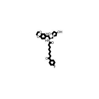 O=C(CCCCCCC(=O)c1ccc(F)cc1)N[C@H](CN1CC[C@H](O)C1)[C@H](O)c1ccc2c(c1)OCCO2